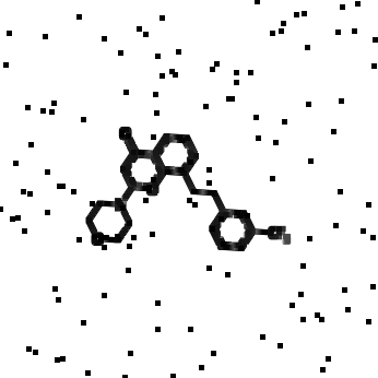 O=c1cc(N2CCOCC2)oc2c(CCc3cccc(C(F)(F)F)c3)cccc12